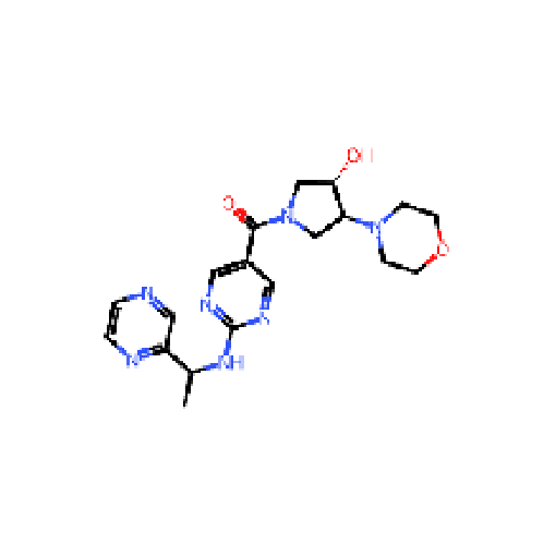 CC(Nc1ncc(C(=O)N2C[C@H](O)[C@@H](N3CCOCC3)C2)cn1)c1cnccn1